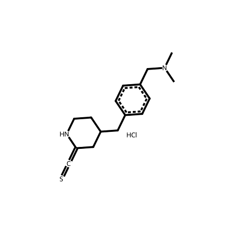 CN(C)Cc1ccc(CC2CCNC(=C=S)C2)cc1.Cl